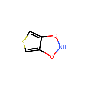 c1scc2c1ONO2